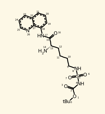 CC(C)(C)OC(=O)NS(=O)(=O)NCCCC[C@H](N)C(=O)Nc1cccc2cccnc12